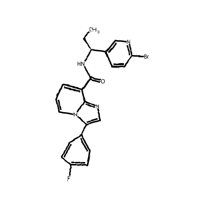 CC[C@H](NC(=O)c1cccn2c(-c3ccc(F)cc3)cnc12)c1ccc(Br)nc1